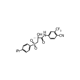 CC(C)c1ccc(S(=O)(=O)C[C@@](C)(O)C(=O)Nc2ccc(C#N)c(C(F)(F)F)c2)cc1